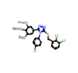 COc1cc(-c2nnc(SCc3cccc(Cl)c3Cl)n2-c2ccc(Cl)cc2)cc(OC)c1OC